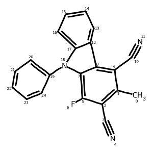 Cc1c(C#N)c(F)c2c(c1C#N)c1ccccc1n2-c1ccccc1